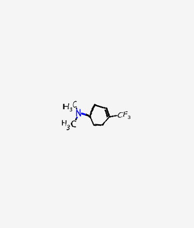 CN(C)C1CC=C(C(F)(F)F)CC1